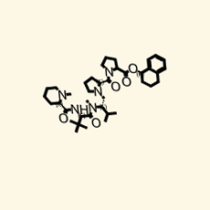 CC(C)[C@@H](CN1CCC[C@H]1C(=O)N1CCCC1C(=O)O[C@@H]1CCCc2ccccc21)N(C)C(=O)[C@@H](NC(=O)[C@H]1CCCCN1C)C(C)(C)C